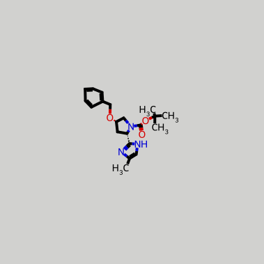 Cc1c[nH]c([C@@H]2C[C@H](OCc3ccccc3)CN2C(=O)OC(C)(C)C)n1